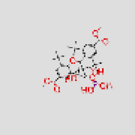 COC(=O)c1cc(C(C)(C)C)c(OC(c2c(C(C)(C)C)cc(C(=O)OC)cc2C(C)(C)C)C(CO)(CO)COP(O)O)c(C(C)(C)C)c1